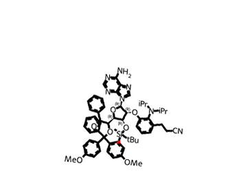 COc1ccc(C(OC(C(=O)c2ccccc2)[C@H]2O[C@@H](n3cnc4c(N)ncnc43)[C@H](Oc3cccc(CCC#N)c3N(C(C)C)C(C)C)[C@@H]2O[Si](C)(C)C(C)(C)C)(c2ccccc2)c2ccc(OC)cc2)cc1